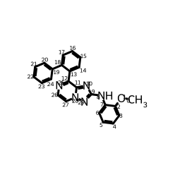 COc1ccccc1Nc1nc2c(-c3ccccc3-c3ccccc3)nccn2n1